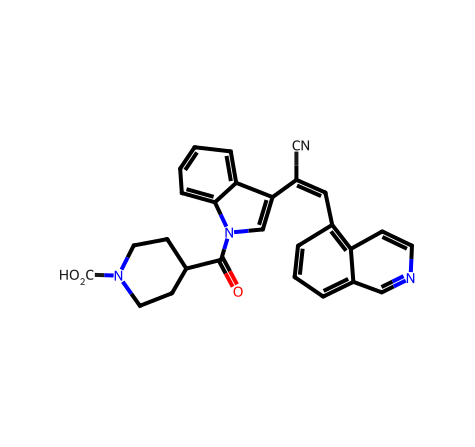 N#CC(=Cc1cccc2cnccc12)c1cn(C(=O)C2CCN(C(=O)O)CC2)c2ccccc12